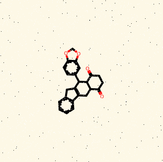 O=C1CCC(=O)C2C1CC1=C(Cc3ccccc31)C2c1ccc2c(c1)OCO2